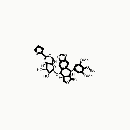 COc1cc([C@@H]2c3cc4c(cc3[C@@H](O[C@@H]3O[C@@H]5COC(c6cccs6)O[C@H]5[C@H](O)[C@H]3O)[C@H]3COC(=O)[C@H]23)OCO4)cc(OC)c1OC(C)(C)C